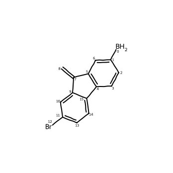 Bc1ccc2c(c1)C(=C)c1cc(Br)ccc1-2